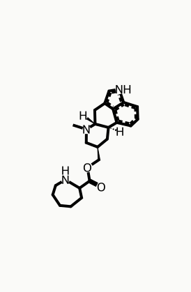 CN1C[C@H](COC(=O)C2CCCCCN2)C[C@@H]2c3cccc4[nH]cc(c34)C[C@H]21